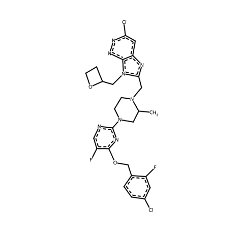 CC1CN(c2ncc(F)c(OCc3ccc(Cl)cc3F)n2)CCN1Cc1nc2cc(Cl)nnc2n1CC1CCO1